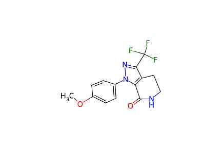 COc1ccc(-n2nc(C(F)(F)F)c3c2C(=O)NCC3)cc1